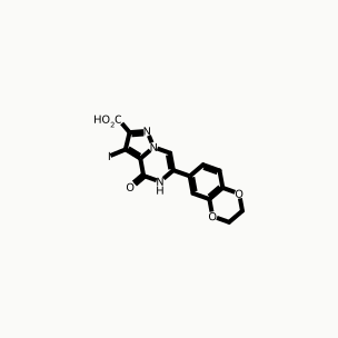 O=C(O)c1nn2cc(-c3ccc4c(c3)OCCO4)[nH]c(=O)c2c1I